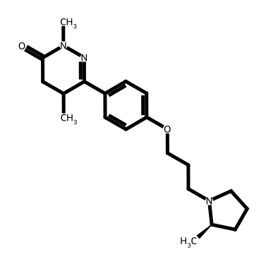 CC1CC(=O)N(C)N=C1c1ccc(OCCCN2CCC[C@H]2C)cc1